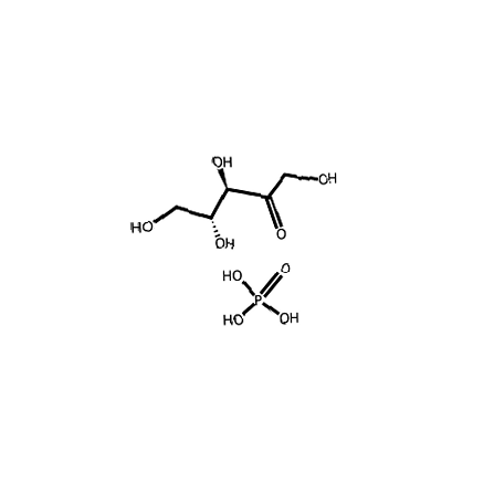 O=C(CO)[C@H](O)[C@H](O)CO.O=P(O)(O)O